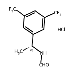 C[C@@H](NC=O)c1cc(C(F)(F)F)cc(C(F)(F)F)c1.Cl